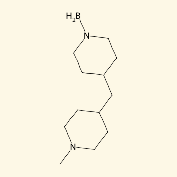 BN1CCC(CC2CCN(C)CC2)CC1